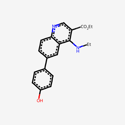 CCNc1c(C(=O)OCC)cnc2ccc(-c3ccc(O)cc3)cc12